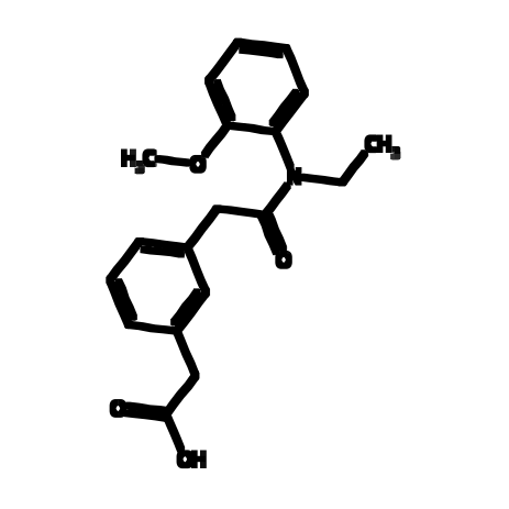 CCN(C(=O)Cc1cccc(CC(=O)O)c1)c1ccccc1OC